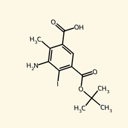 Cc1c(C(=O)O)cc(C(=O)OC(C)(C)C)c(I)c1N